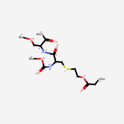 CCCCCCCCCCCC(=O)OCCSCC(NC(=O)OC(C)(C)C)C(=O)NC(COC(C)(C)C)C(=O)OC